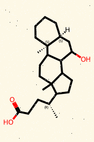 C[C@H](CCC(=O)O)C1CCC2C3C(O)C[C@@H]4CCCC[C@]4(C)C3CCC21C